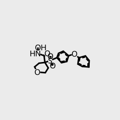 O=C(NO)C1(S(=O)(=O)c2ccc(Oc3ccccc3)cc2)CCOCC1